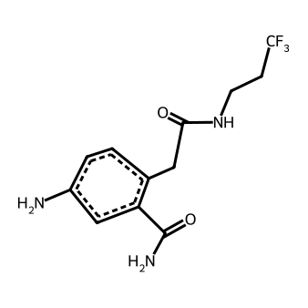 NC(=O)c1cc(N)ccc1CC(=O)NCCC(F)(F)F